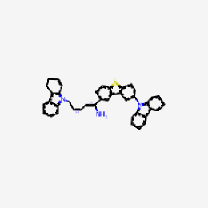 N/C(=C\C=C/Cn1c2c(c3ccccc31)CCC=C2)c1ccc2sc3ccc(-n4c5ccccc5c5ccccc54)cc3c2c1